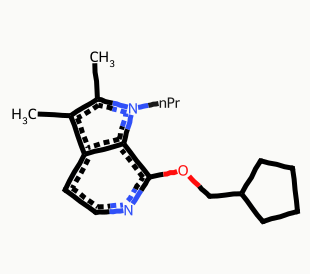 CCCn1c(C)c(C)c2ccnc(OCC3CCCC3)c21